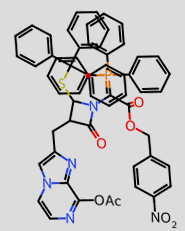 CC(=O)Oc1nccn2cc(CC3C(=O)N(C(C(=O)OCc4ccc([N+](=O)[O-])cc4)=P(c4ccccc4)(c4ccccc4)c4ccccc4)C3SC(c3ccccc3)(c3ccccc3)c3ccccc3)nc12